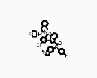 Cn1ccc2cc(N(C(=O)c3cc(-c4cc(Cl)ccc4C(=O)N4Cc5ccccc5C[C@H]4CN4CCOCC4)n4ccccc34)c3ccc(F)cc3)ccc21